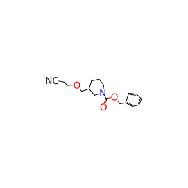 N#CCCOCC1CCCN(C(=O)OCc2ccccc2)C1